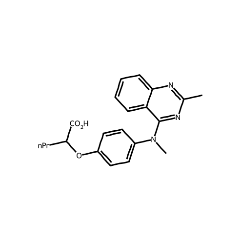 CCCC(Oc1ccc(N(C)c2nc(C)nc3ccccc23)cc1)C(=O)O